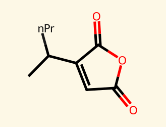 CCCC(C)C1=CC(=O)OC1=O